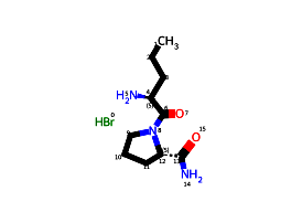 Br.CCC[C@H](N)C(=O)N1CCC[C@H]1C(N)=O